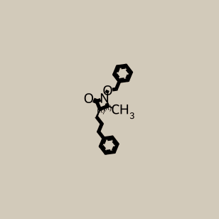 C[C@@H]1[C@@H](CCCc2ccccc2)C(=O)N1OCc1ccccc1